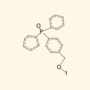 O=P(c1ccccc1)(c1ccccc1)c1ccc(COI)cc1